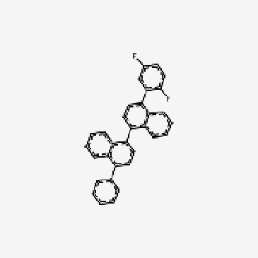 Fc1ccc(F)c(-c2ccc(-c3ccc(-c4ccccc4)c4ccccc34)c3ccccc23)c1